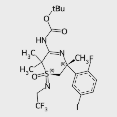 CC(C)(C)OC(=O)NC1=N[C@](C)(c2cc(I)ccc2F)C[S@](=O)(=NCC(F)(F)F)C1(C)C